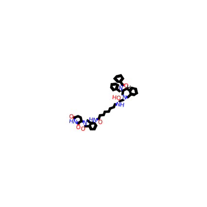 O=C1CCC(N2Cc3c(NC(=O)CCCCCCCNC(O)CN4Cc5ccccc5[C@@H]5OC(c6ccccc6)=N[C@]5(Cc5ccccc5)C4)cccc3C2=O)C(=O)N1